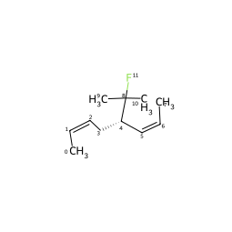 C/C=C\C[C@@H](/C=C\C)C(C)(C)F